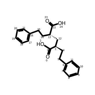 O=C(O)[C@H](CCc1ccccc1)C[C@H](CCc1ccccc1)C(=O)O